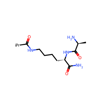 CC(C)C(=O)NCCCC[C@H](NC(=O)[C@H](C)N)C(N)=O